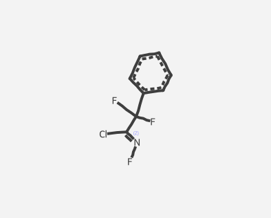 F/N=C(\Cl)C(F)(F)c1ccccc1